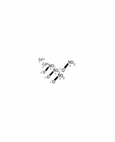 O=[N+]([O-])[O-].O=[N+]([O-])[O-].O=[N+]([O-])[O-].O=[N+]([O-])[O-].[Cd+2].[Cd+2]